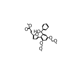 COCOc1cc(OCOC)c(-c2ccc(C=CC(=O)OC)o2)c(C(O)c2ccccc2)c1